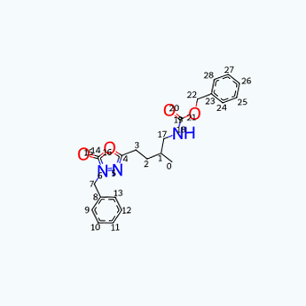 CC(CCc1nn(Cc2ccccc2)c(=O)o1)CNC(=O)OCc1ccccc1